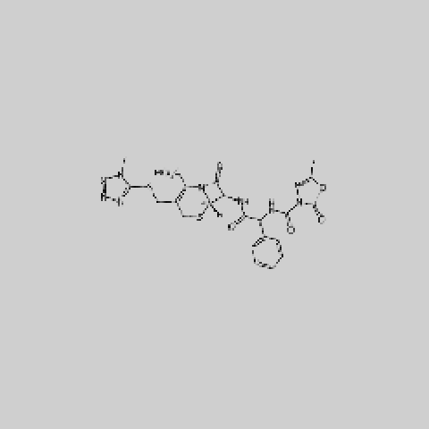 Cc1nn(C(=O)NC(C(=O)NC2C(=O)N3C(C(=O)O)=C(CSc4nnnn4C)CS[C@@H]23)c2ccccc2)c(=O)o1